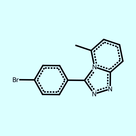 Cc1cccc2nnc(-c3ccc(Br)cc3)n12